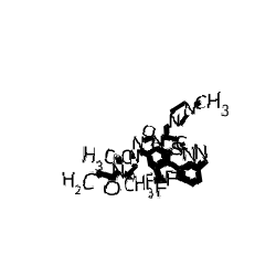 C=CC(=O)N1[C@H](C)CN(c2nc(=O)n3c4c(c(-c5cccc6cnn(C)c56)c(C(F)(F)F)cc24)SCC3CN2CCN(C)CC2)C[C@@H]1C